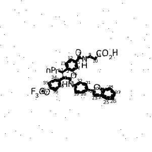 CCCC(c1ccc(C(=O)NCCC(=O)O)cc1)[C@H](C(=O)Nc1ccc(-c2cc3ccccc3o2)cc1)c1ccc(OC(F)(F)F)cc1